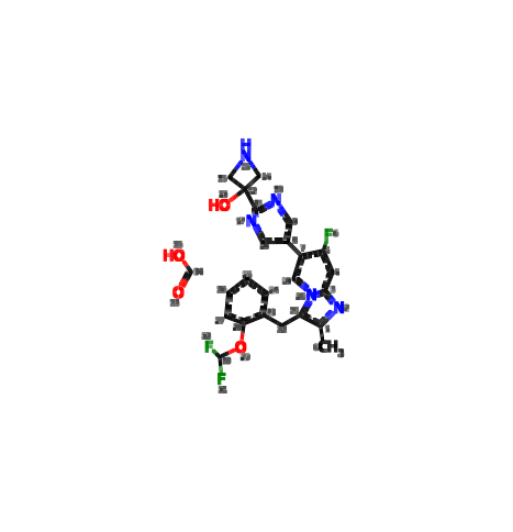 Cc1nc2cc(F)c(-c3cnc(C4(O)CNC4)nc3)cn2c1Cc1ccccc1OC(F)F.O=CO